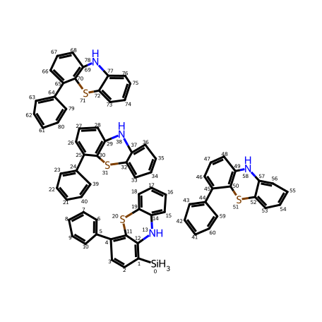 [SiH3]c1ccc(-c2ccccc2)c2c1Nc1ccccc1S2.c1ccc(-c2cccc3c2Sc2ccccc2N3)cc1.c1ccc(-c2cccc3c2Sc2ccccc2N3)cc1.c1ccc(-c2cccc3c2Sc2ccccc2N3)cc1